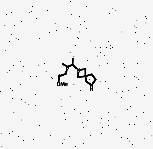 COCCN(C)C(C)N1CC2(CCNC2)C1